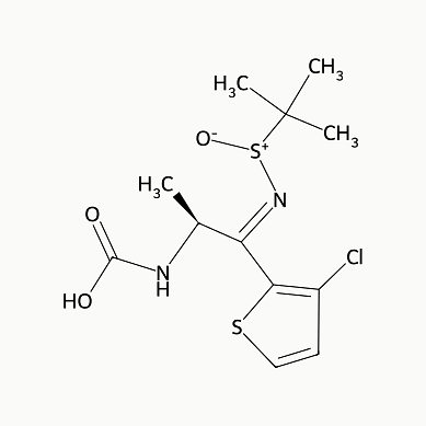 C[C@H](NC(=O)O)/C(=N\[S+]([O-])C(C)(C)C)c1sccc1Cl